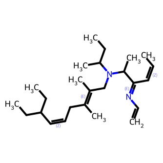 C=C/N=C(\C=C/C)C(C)N(C/C(C)=C(\C)C/C=C\C(CC)CC)C(C)CC